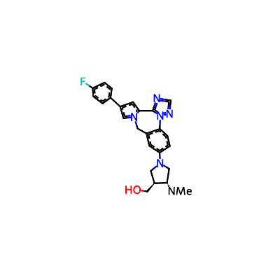 CN[C@H]1CN(c2ccc3c(c2)Cn2cc(-c4ccc(F)cc4)cc2-c2ncnn2-3)C[C@@H]1CO